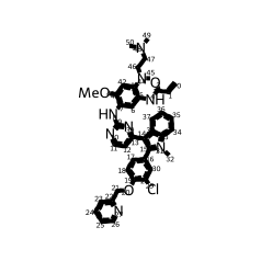 C=CC(=O)Nc1cc(Nc2nccc(-c3c(-c4ccc(OCc5ccccn5)c(Cl)c4)n(C)c4ccccc34)n2)c(OC)cc1N(C)CCN(C)C